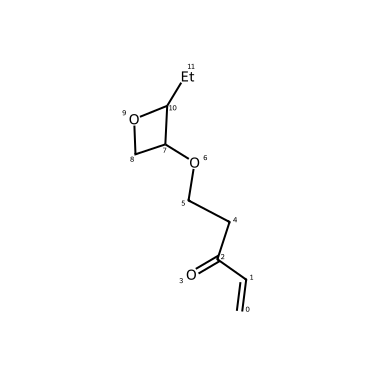 C=CC(=O)CCOC1COC1CC